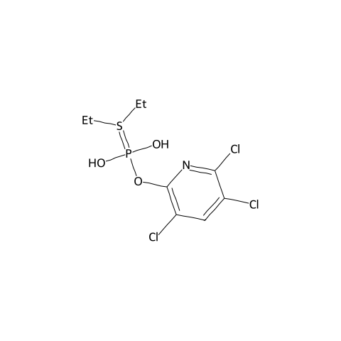 CCS(CC)=P(O)(O)Oc1nc(Cl)c(Cl)cc1Cl